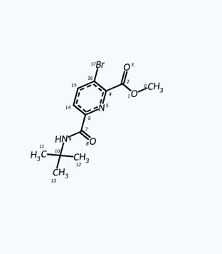 COC(=O)c1nc(C(=O)NC(C)(C)C)ccc1Br